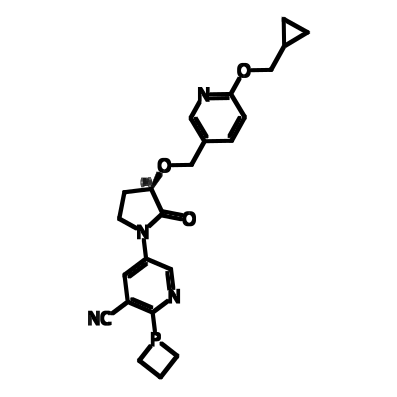 N#Cc1cc(N2CC[C@@H](OCc3ccc(OCC4CC4)nc3)C2=O)cnc1P1CCC1